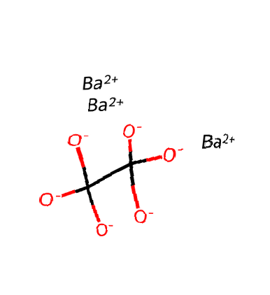 [Ba+2].[Ba+2].[Ba+2].[O-]C([O-])([O-])C([O-])([O-])[O-]